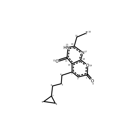 O=c1cc(CCCC2CC2)c2c(=O)[nH]c(CF)nc2o1